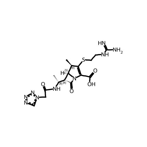 C[C@@H](NC(=O)Cn1cnnn1)[C@H]1C(=O)N2C(C(=O)O)=C(SCCNC(=N)N)[C@H](C)[C@H]12